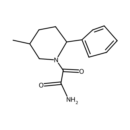 CC1CCC(c2ccccc2)N(C(=O)C(N)=O)C1